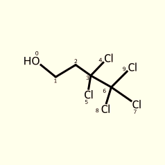 OCCC(Cl)(Cl)C(Cl)(Cl)Cl